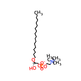 CCCCCCCCCCCCCCCCCCO[C@@H](CO)COP(=O)([O-])OCC[N+](C)(C)C